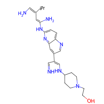 CC(C)C(=C/N)/C=C(\N)Nc1ccc2ncc(/C(C=N)=C/NC3CCN(CCO)CC3)cc2n1